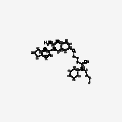 CCCCN(C(=O)CCCOc1ccc2c(c1)CN(C(C=O)OC1CCCC1)C(N)=N2)C1CCCCC1